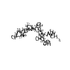 Cc1nccn1CCn1c(CN2CCN(c3cccc(OCc4ccc(Cl)cc4F)n3)C3COCC32)nc2c(Cl)cc(C(=O)O)cc21